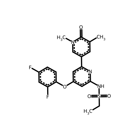 CCS(=O)(=O)Nc1cc(Oc2ccc(F)cc2F)cc(-c2cc(C)c(=O)n(C)c2)n1